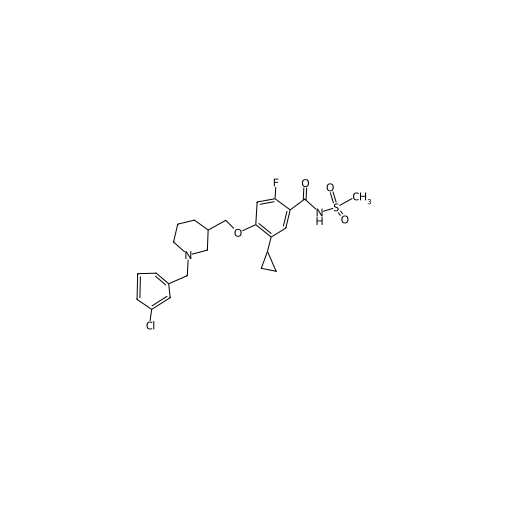 CS(=O)(=O)NC(=O)c1cc(C2CC2)c(OCC2CCCN(Cc3cccc(Cl)c3)C2)cc1F